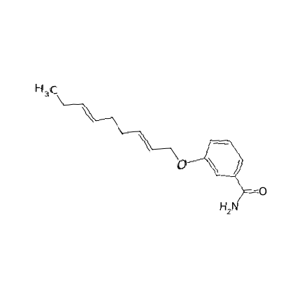 CCC=CCCC=CCOc1cccc(C(N)=O)c1